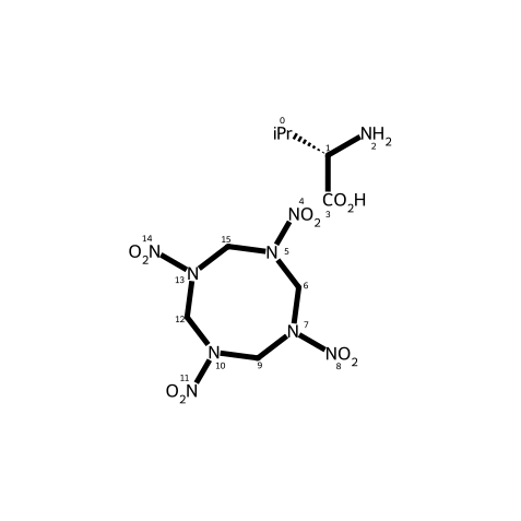 CC(C)[C@H](N)C(=O)O.O=[N+]([O-])N1CN([N+](=O)[O-])CN([N+](=O)[O-])CN([N+](=O)[O-])C1